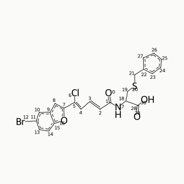 O=C(C=CC=C(Cl)c1cc2cc(Br)ccc2o1)NC(CSCc1ccccc1)C(=O)O